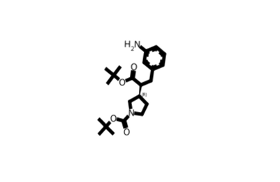 CC(C)(C)OC(=O)C(Cc1cccc(N)c1)[C@H]1CCN(C(=O)OC(C)(C)C)C1